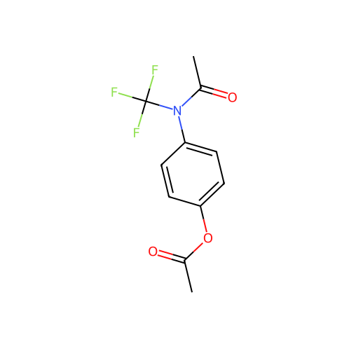 CC(=O)Oc1ccc(N(C(C)=O)C(F)(F)F)cc1